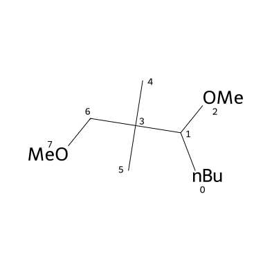 CCCCC(OC)C(C)(C)COC